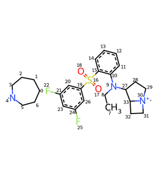 C1CCC[N]CC1.CCN(c1ccccc1S(=O)(=O)c1cc(F)cc(F)c1)C1CC[N+]2CCC12